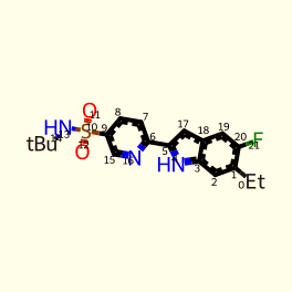 CCc1cc2[nH]c(-c3ccc(S(=O)(=O)NC(C)(C)C)cn3)cc2cc1F